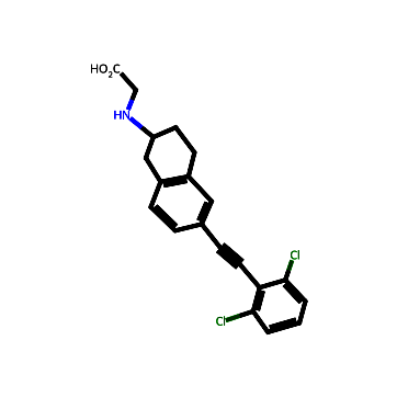 O=C(O)CNC1CCc2cc(C#Cc3c(Cl)cccc3Cl)ccc2C1